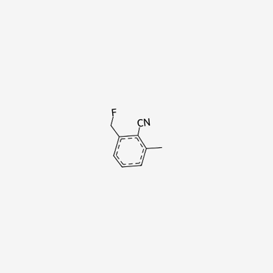 Cc1cccc(CF)c1C#N